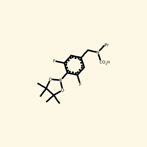 CC(C)N(Cc1cc(F)c(B2OC(C)(C)C(C)(C)O2)c(F)c1)C(=O)O